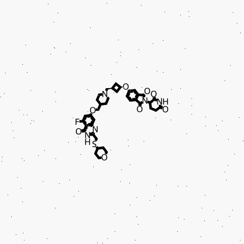 O=C1CCC(N2C(=O)c3ccc(O[C@H]4C[C@H](CN5CCC(COc6cc(F)c7c(=O)[nH]c(CSC8CCOCC8)nc7c6)CC5)C4)cc3C2=O)C(=O)N1